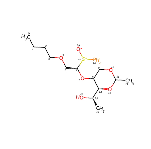 CCCCOC[C@H](OC1COC(C)O[C@H]1[C@@H](C)O)[S+]([O-])P